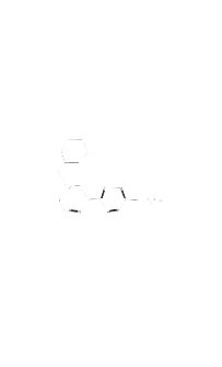 COc1ccc(N2CN(CC3CCCCC3)CN=C2Cl)cc1Cl